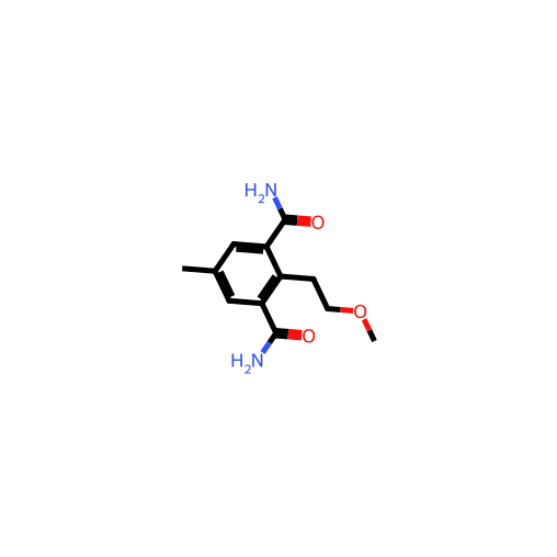 COCCc1c(C(N)=O)cc(C)cc1C(N)=O